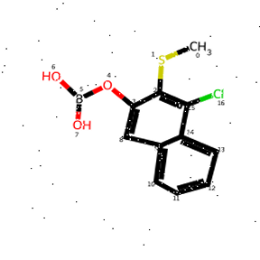 CSc1c(OB(O)O)cc2ccccc2c1Cl